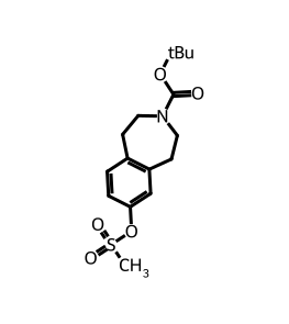 CC(C)(C)OC(=O)N1CCc2ccc(OS(C)(=O)=O)cc2CC1